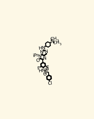 CC(C)n1c(=O)c(-c2cc(F)c(NS(=O)(=O)Cc3ccc(Cl)cc3)c(F)c2)nc2cnc(NC3CCC(N(C)C)CC3)nc21